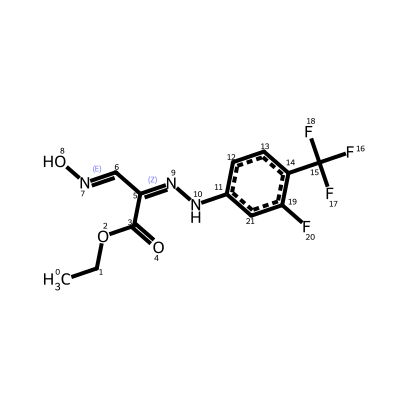 CCOC(=O)C(/C=N/O)=N\Nc1ccc(C(F)(F)F)c(F)c1